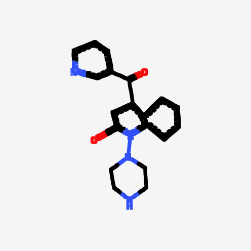 O=C(c1cccnc1)c1cc(=O)n(N2CCNCC2)c2ccccc12